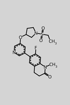 CCS(=O)(=O)N1CCC(Oc2cncc(-c3cc4c(cc3F)N(C)C(=O)CC4)c2)C1